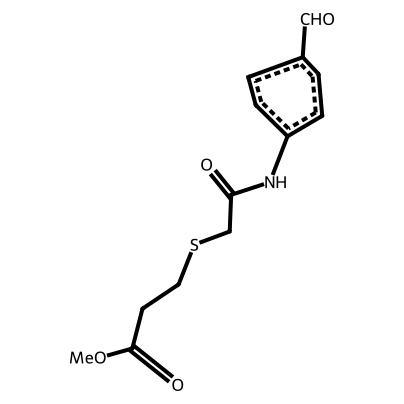 COC(=O)CCSCC(=O)Nc1ccc(C=O)cc1